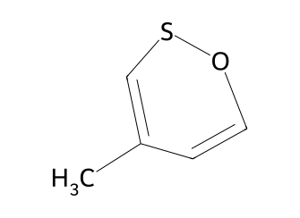 CC1=CSOC=C1